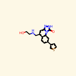 O=c1[nH]nc2cc(CNCCO)c3ccc(-c4ccsc4)cc3n12